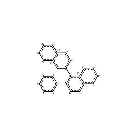 [c]1c(-c2c(-c3ccccc3)ccc3ccccc23)ccc2ccccc12